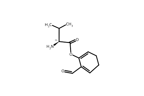 CC(C)[C@H](N)C(=O)OC1=CCCC=C1C=O